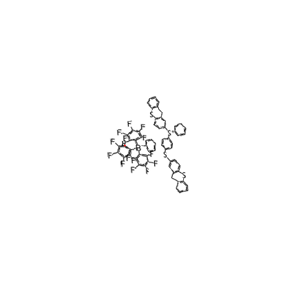 Fc1c(F)c(F)c([B-](c2ccccc2)(c2c(F)c(F)c(F)c(F)c2F)c2c(F)c(F)c(F)c(F)c2F)c(F)c1F.c1ccc([S+](c2ccc(Sc3ccc4c(c3)Cc3ccccc3S4)cc2)c2ccc3c(c2)Cc2ccccc2S3)cc1